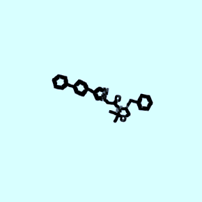 CC1(C)OC[C@H](Cc2ccccc2)N1C(=O)Cn1cc(-c2ccc(-c3ccccc3)cc2)cn1